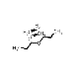 C=C.C=C.CCCOCCC